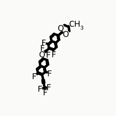 CC1COC(c2ccc3c(F)c(C(F)(F)Oc4ccc5c(F)c(C#CC(F)(F)F)c(F)cc5c4)c(F)cc3c2)OC1